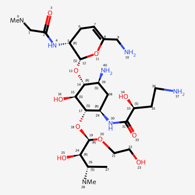 CNCC(=O)N[C@@H]1CC=C(CN)O[C@@H]1O[C@H]1[C@H](O)[C@@H](O[C@@H](OCCO)[C@H](O)[C@H](C)NC)[C@H](NC(=O)[C@@H](O)CCN)C[C@@H]1N